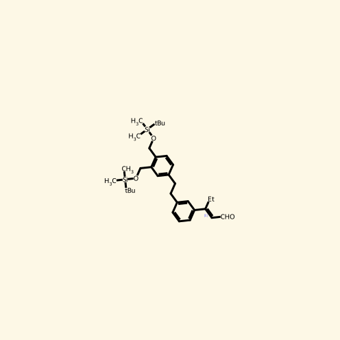 CC/C(=C\C=O)c1cccc(CCc2ccc(CO[Si](C)(C)C(C)(C)C)c(CO[Si](C)(C)C(C)(C)C)c2)c1